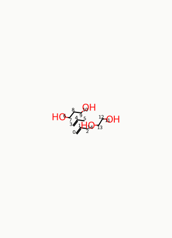 C=CC.C=CC.OCCCO.OCCO